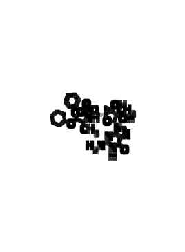 CC(NP(=O)(OC[C@]12C[C@]1(O)[C@@](C)(O)[C@H](n1cnc3c(=O)[nH]c(N)nc31)O2)Oc1ccccc1)C(=O)OC1CCCCC1